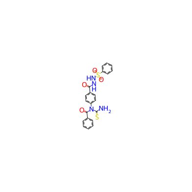 NC(=S)N(C(=O)c1ccccc1)c1ccc(C(=O)NNS(=O)(=O)c2ccccc2)cc1